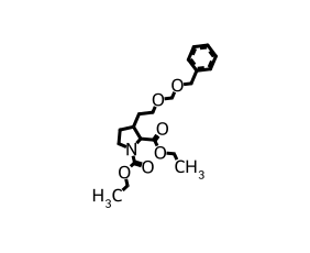 CCOC(=O)C1C(CCOCOCc2ccccc2)CCN1C(=O)OCC